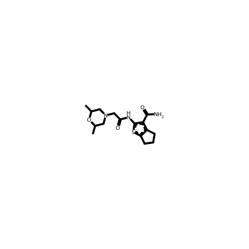 CC1CN(CC(=O)Nc2sc3c(c2C(N)=O)CCC3)CC(C)O1